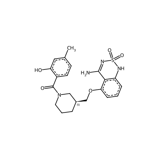 Cc1ccc(C(=O)N2CCC[C@H](COc3cccc4c3C(N)=NS(=O)(=O)N4)C2)c(O)c1